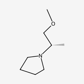 COC[C@H](C)N1CCCC1